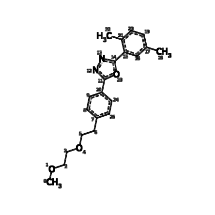 COCCOCCc1ccc(-c2nnc(-c3cc(C)ccc3C)o2)cc1